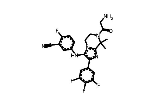 CC1(C)c2nc(-c3cc(F)c(F)c(F)c3)c(Nc3ccc(F)c(C#N)c3)n2CCN1C(=O)CN